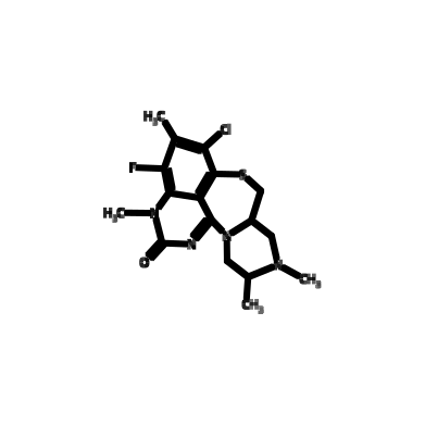 Cc1c(Cl)c2c3c(nc(=O)n(C)c3c1F)N1CC(C)N(C)CC1CS2